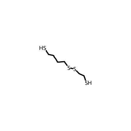 SCCCCSSCCS